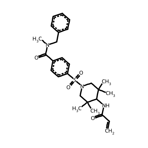 C=CC(=O)NC1C(C)(C)CN(S(=O)(=O)c2ccc(C(=O)N(C)Cc3ccccc3)cc2)CC1(C)C